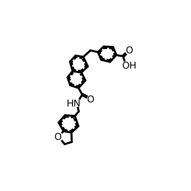 O=C(O)c1ccc(Cc2ccc3ccc(C(=O)NCc4ccc5c(c4)CCO5)cc3c2)cc1